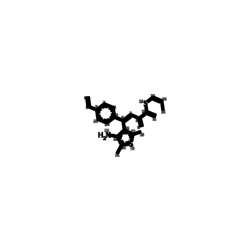 C=Cc1ccc(/C(=C/C(=C)C(=C)S/C=C\C)c2c(C)sc(C)c2N)cc1